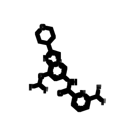 O=C(Nc1cc(OC(F)F)c2nc(C3CCOCC3)cn2c1)c1cccc(C(F)F)n1